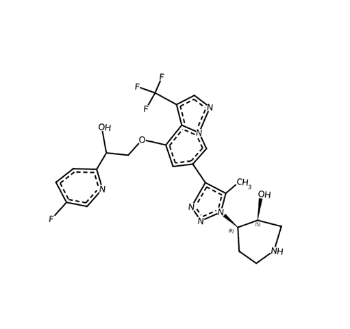 Cc1c(-c2cc(OCC(O)c3ccc(F)cn3)c3c(C(F)(F)F)cnn3c2)nnn1[C@@H]1CCNC[C@@H]1O